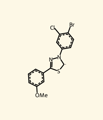 COc1cccc(C2=NN(c3ccc(Br)c(Cl)c3)[CH]S2)c1